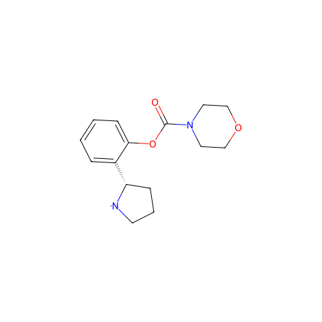 O=C(Oc1ccccc1[C@@H]1CCC[N]1)N1CCOCC1